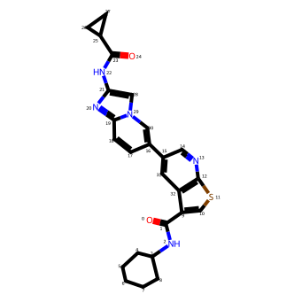 O=C(NC1CCCCC1)c1csc2ncc(-c3ccc4nc(NC(=O)C5CC5)cn4c3)cc12